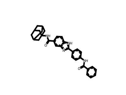 O=C(Nc1ccc(-c2nc3cc(C(=O)NC45CC6CC(CC(C6)C4)C5)ccc3[nH]2)cc1)c1ccccc1